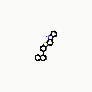 c1ccc2c(-c3ccc4sc5c(ccc6c7ccccc7[nH]c65)c4c3)cccc2c1